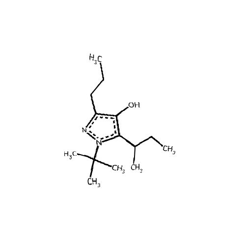 CCCc1nn(C(C)(C)C)c(C(C)CC)c1O